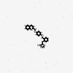 c1ccc(Cc2nnn[nH]2)c(COc2ccc(OCc3ccc4ccccc4n3)cc2)c1